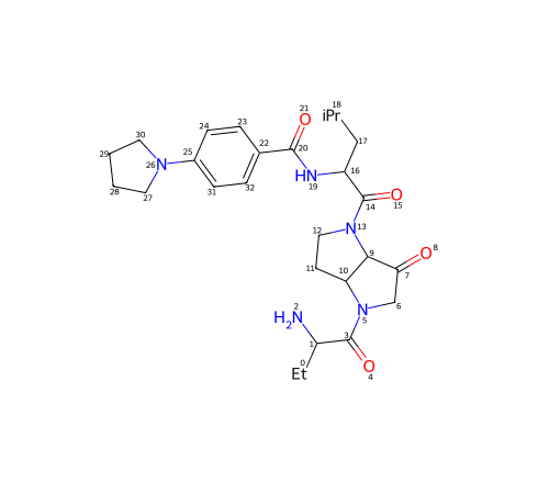 CCC(N)C(=O)N1CC(=O)C2C1CCN2C(=O)C(CC(C)C)NC(=O)c1ccc(N2CCCC2)cc1